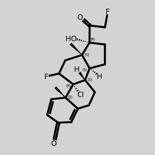 C[C@]12C=CC(=O)C=C1CC[C@H]1[C@@H]3CC[C@](O)(C(=O)CF)[C@@]3(C)CC(F)[C@@]12Cl